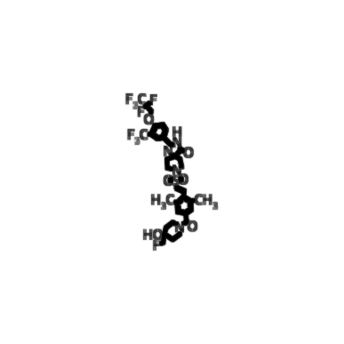 Cc1cc(C(=O)N2CCC(O)(CF)CC2)cc(C)c1C=CS(=O)(=O)N1CCC2(CC1)N=C(c1ccc(OCC(F)(F)C(F)(F)F)c(C(F)(F)F)c1)NC2=O